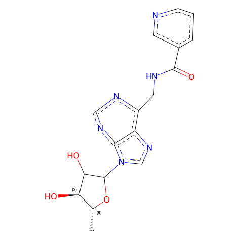 [CH2][C@H]1OC(n2cnc3c(CNC(=O)c4cccnc4)ncnc32)C(O)[C@@H]1O